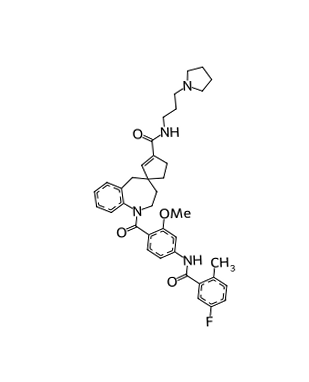 COc1cc(NC(=O)c2cc(F)ccc2C)ccc1C(=O)N1CCC2(C=C(C(=O)NCCCN3CCCC3)CC2)Cc2ccccc21